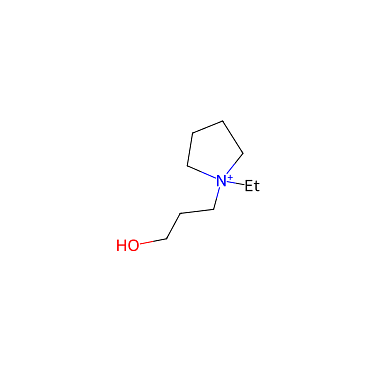 CC[N+]1(CCCO)CCCC1